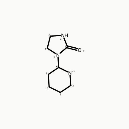 O=C1NCCN1C1CCCC[N]1